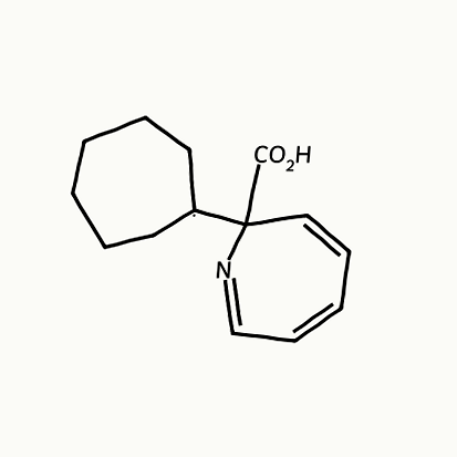 O=C(O)C1([C]2CCCCCC2)C=CC=CC=N1